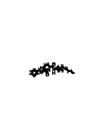 CCCCN1CC2(CC(NC(=O)[C@@H]3CC[C@@H]4CN3C(=O)N4OCc3ccccc3)C2)C1